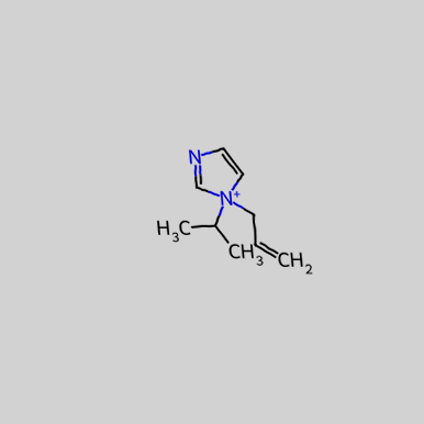 C=CC[N+]1(C(C)C)C=CN=C1